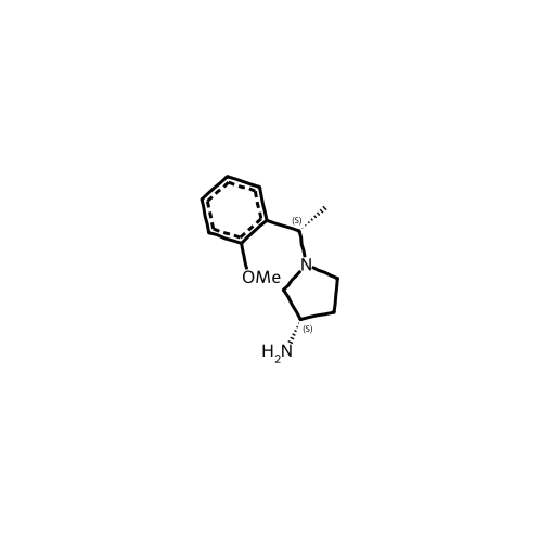 COc1ccccc1[C@H](C)N1CC[C@H](N)C1